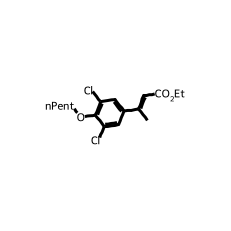 CCCCCOc1c(Cl)cc(C(C)=CC(=O)OCC)cc1Cl